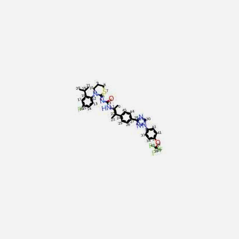 C/C(NC(=O)/N=C1\SCCCN1c1ccc(F)cc1C(C)C)=C(/C)c1ccc(-c2ncn(-c3ccc(OC(F)(F)F)cc3)n2)cc1